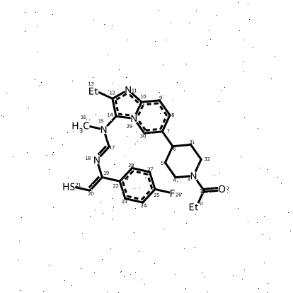 CCC(=O)N1CCC(c2ccc3nc(CC)c(N(C)/C=N/C(=C\S)c4ccc(F)cc4)n3c2)CC1